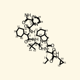 CCC[C@H](NC(=O)[C@@H]1CC2CCCCC2N1C(=O)[C@@H](NC(=O)C(NC(=O)c1nccnc1C(N)=O)C1CCCCC1)C(C)(C)C)C(=O)C(=O)NC1CC1